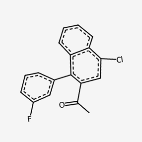 CC(=O)c1cc(Cl)c2ccccc2c1-c1cccc(F)c1